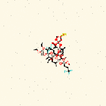 CCO[SiH](OCC)O[Si](O[SiH](OCC)OCC)(C(C)C)C(C)CCC(C)[Si](O[Si](CCC(F)(F)F)(OC)OC)(O[Si](CCC(F)(F)F)(OC)OC)C(C)CCC(C)[Si](O[Si](CCS)(OC)OC)(O[Si](CCS)(OC)OC)C(C)C